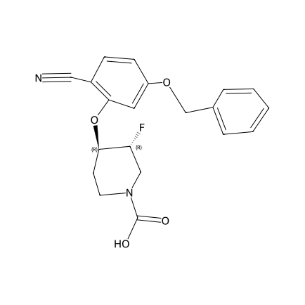 N#Cc1ccc(OCc2ccccc2)cc1O[C@@H]1CCN(C(=O)O)C[C@H]1F